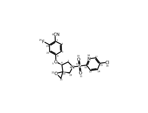 N#Cc1ccc(O[C@H]2CN(S(=O)(=O)c3ccc(Cl)cn3)C[C@]23CO3)cc1F